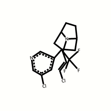 FC(F)(F)CN1C2CCC1CC(/C=C/Cl)(c1cncc(Cl)c1)C2